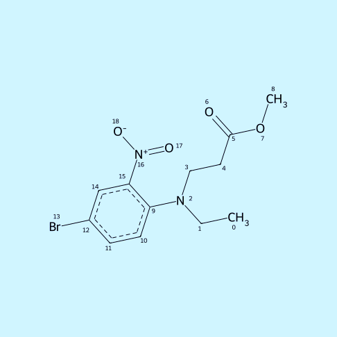 CCN(CCC(=O)OC)c1ccc(Br)cc1[N+](=O)[O-]